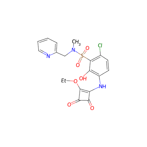 CCOc1c(Nc2ccc(Cl)c(S(=O)(=O)N(C)Cc3ccccn3)c2O)c(=O)c1=O